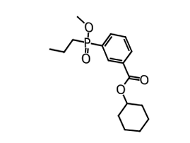 CCCP(=O)(OC)c1cccc(C(=O)OC2CCCCC2)c1